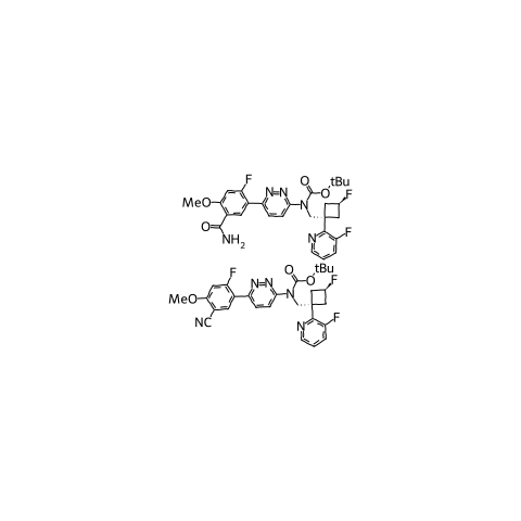 COc1cc(F)c(-c2ccc(N(C[C@]3(c4ncccc4F)C[C@@H](F)C3)C(=O)OC(C)(C)C)nn2)cc1C#N.COc1cc(F)c(-c2ccc(N(C[C@]3(c4ncccc4F)C[C@@H](F)C3)C(=O)OC(C)(C)C)nn2)cc1C(N)=O